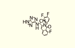 C[C@H](Nc1ncnc2[nH]cnc12)c1cc2cccc(F)c2c(=O)n1-c1ccc(F)c(F)c1